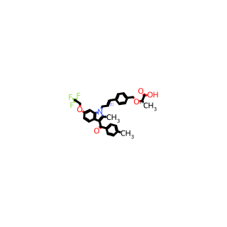 Cc1ccc(C(=O)c2c(C)n(C/C=C/c3ccc(CO[C@H](C)C(=O)O)cc3)c3cc(OCC(F)(F)F)ccc23)cc1